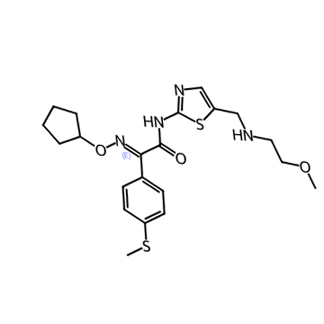 COCCNCc1cnc(NC(=O)/C(=N/OC2CCCC2)c2ccc(SC)cc2)s1